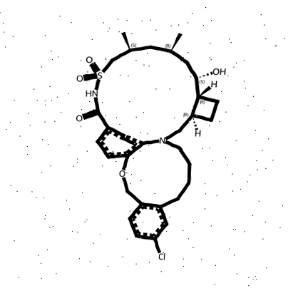 C[C@@H]1C[C@H](C)CS(=O)(=O)NC(=O)c2ccc3c(c2)N(CCCCc2cc(Cl)ccc2CO3)C[C@@H]2CC[C@H]2[C@@H](O)C1